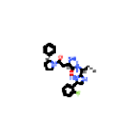 C[C@H](NC(=O)[C@@H](N)CC(=O)N1CCC[C@@H]1c1ccccc1)C1N=CC(c2ccccc2F)N1